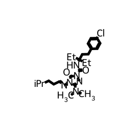 CCC(CC)(CCc1ccc(Cl)cc1)NC(=O)n1nc(N(C)C)n(N=CCCC(C)C)c1=O